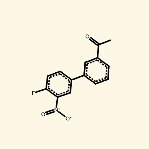 CC(=O)c1cccc(-c2ccc(F)c([N+](=O)[O-])c2)c1